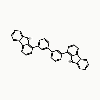 [c]1ccc(-c2cccc(-c3cccc4c3[nH]c3ccccc34)c2)cc1-c1cccc2c1[nH]c1ccccc12